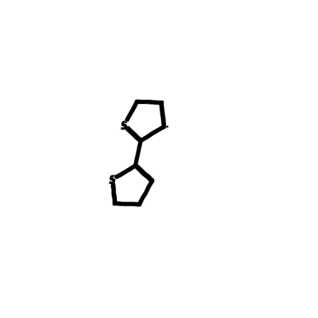 [CH]1CCSC1C1CCCS1